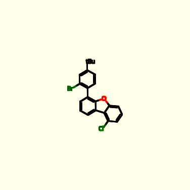 CC(C)(C)c1ccc(-c2cccc3c2oc2cccc(Cl)c23)c(Br)c1